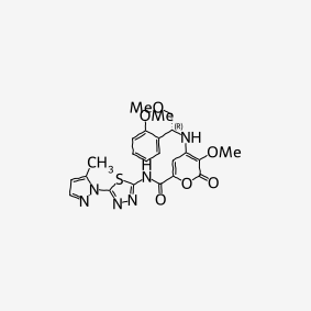 COC[C@H](Nc1cc(C(=O)Nc2nnc(-n3nccc3C)s2)oc(=O)c1OC)c1ccccc1OC